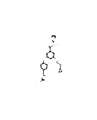 CC(C)c1nnc(-c2ccc(Oc3cc(OCCC4CC4)cc(C(=O)Nc4nccs4)c3)cc2)o1